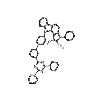 Cc1c(C)n(-c2ccccc2)c2ccc3c4ccccc4n(-c4ccc(-c5cccc(-c6nc(-c7ccccc7)nc(-c7ccccc7)n6)c5)cc4)c3c12